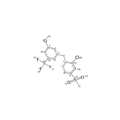 COc1cc(Cc2ccc(S(C)(=O)=O)cc2Cl)cc(C(F)(F)F)c1